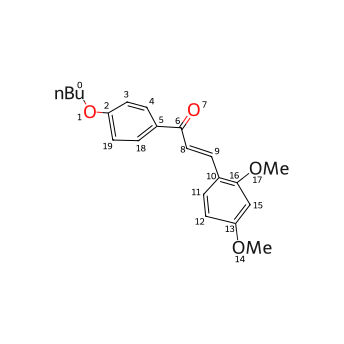 CCCCOc1ccc(C(=O)C=Cc2ccc(OC)cc2OC)cc1